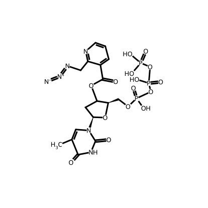 Cc1cn([C@H]2CC(OC(=O)c3cccnc3CN=[N+]=[N-])[C@@H](COP(=O)(O)OP(=O)(O)OP(=O)(O)O)O2)c(=O)[nH]c1=O